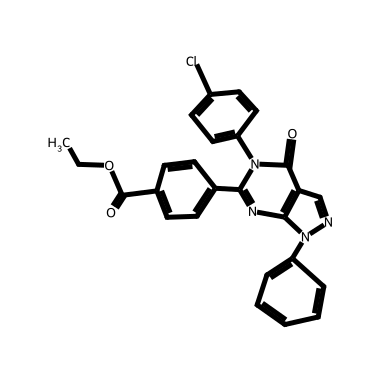 CCOC(=O)c1ccc(-c2nc3c(cnn3-c3ccccc3)c(=O)n2-c2ccc(Cl)cc2)cc1